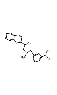 CN(Cc1cccc(B(O)O)c1)CC(O)c1ccc2ccccc2c1